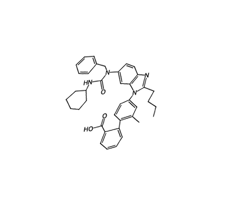 CCCCc1nc2ccc(N(Cc3ccccc3)C(=O)NC3CCCCC3)cc2n1-c1ccc(-c2ccccc2C(=O)O)c(C)c1